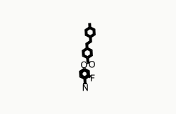 CC1CCC(CCC2CCC(C(=O)Oc3ccc(C#N)c(F)c3)CC2)CC1